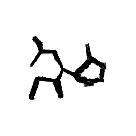 CC(C)CC(C(=O)C=O)c1nnn[nH]1